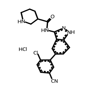 Cl.N#Cc1ccc(Cl)c(-c2ccc3[nH]nc(NC(=O)C4CCCNC4)c3c2)c1